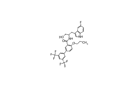 CCCOc1ccc(-c2cc(C(F)(F)F)cc(C(F)(F)F)c2)cc1C(=O)NC(CO)Cc1c[nH]c2ccc(F)cc12